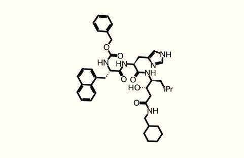 CC(C)C[C@H](NC(=O)[C@H](Cc1c[nH]cn1)NC(=O)[C@H](Cc1cccc2ccccc12)NC(=O)OCc1ccccc1)[C@@H](O)CC(=O)NCC1CCCCC1